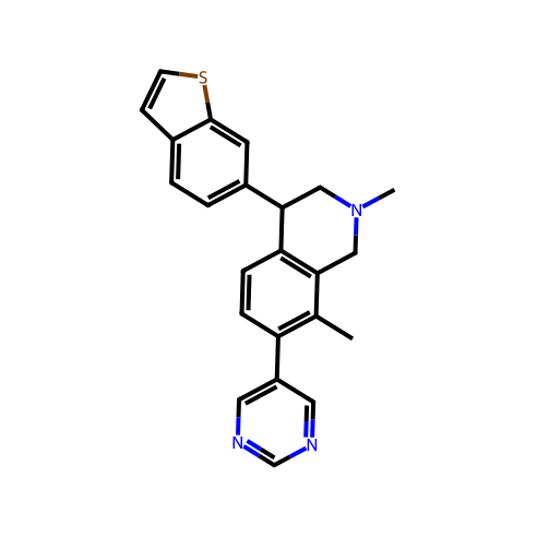 Cc1c(-c2cncnc2)ccc2c1CN(C)CC2c1ccc2ccsc2c1